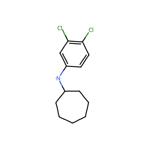 Clc1ccc([N]C2CCCCCC2)cc1Cl